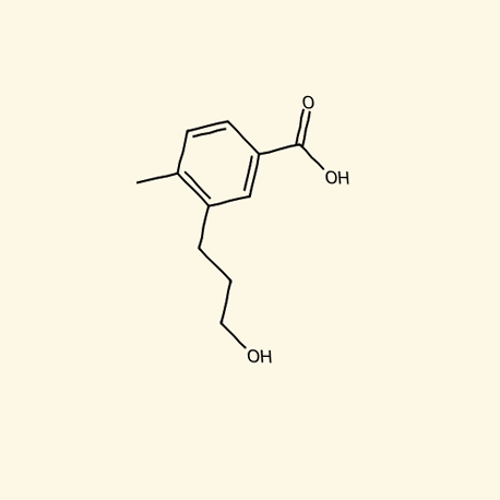 Cc1ccc(C(=O)O)cc1CCCO